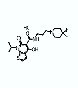 CC(C)n1c(=O)c(C(=O)NCCCN2CCC(F)(F)CC2)c(O)c2ccsc21.Cl